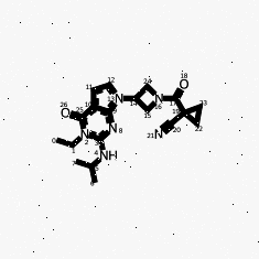 CCn1c(NC(C)C)nc2c(ccn2C2CN(C(=O)C3(C#N)CC3)C2)c1=O